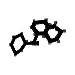 c1cc(NC2CCCCC2)c2cccnc2c1